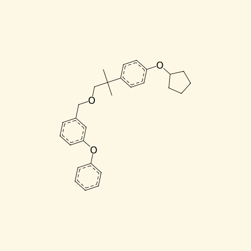 CC(C)(COCc1cccc(Oc2ccccc2)c1)c1ccc(OC2CCCC2)cc1